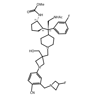 COC(=O)N[C@H]1CCC[C@@H]1[C@](CNC(C)=O)(c1cccc(F)c1)C1CCN(CC2(CO)CN(c3ccc(C#N)c(CN4CC(F)C4)c3)C2)CC1